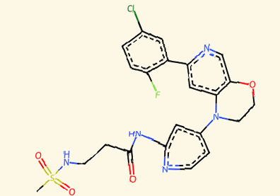 CS(=O)(=O)NCCC(=O)Nc1cc(N2CCOc3cnc(-c4cc(Cl)ccc4F)cc32)ccn1